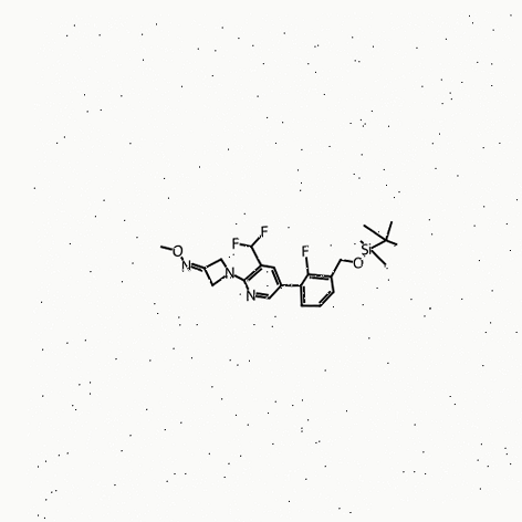 CON=C1CN(c2ncc(-c3cccc(CO[Si](C)(C)C(C)(C)C)c3F)cc2C(F)F)C1